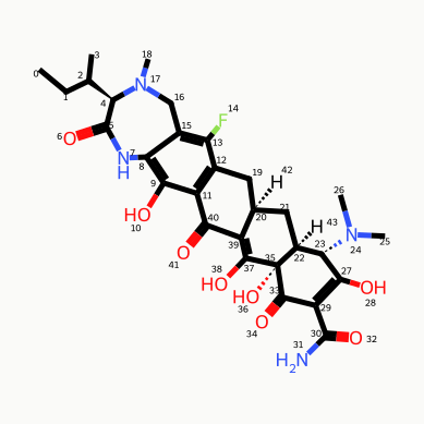 CCC(C)[C@@H]1C(=O)Nc2c(O)c3c(c(F)c2CN1C)C[C@H]1C[C@H]2[C@H](N(C)C)C(O)=C(C(N)=O)C(=O)[C@@]2(O)C(O)=C1C3=O